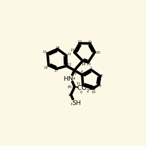 CCOC(=O)[C@H](CS)NC(c1ccccc1)(c1ccccc1)c1ccccc1